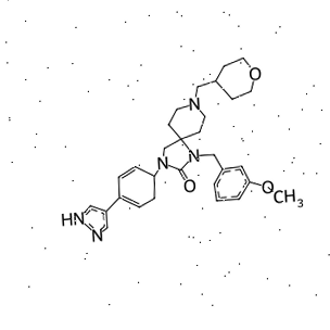 COc1cccc(CN2C(=O)N(C3C=CC(c4cn[nH]c4)=CC3)CC23CCN(CC2CCOCC2)CC3)c1